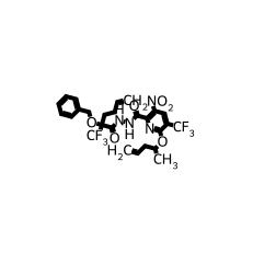 C=CCCC(OCc1ccccc1)(C(=O)NNC(=O)c1nc(OC(C)CC=C)c(C(F)(F)F)cc1[N+](=O)[O-])C(F)(F)F